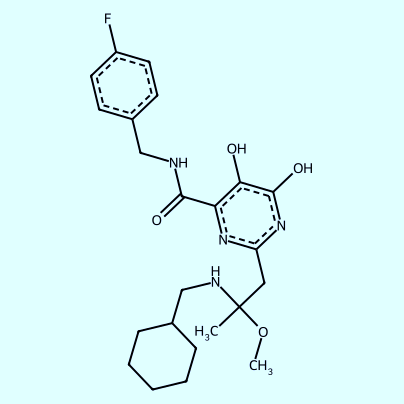 COC(C)(Cc1nc(O)c(O)c(C(=O)NCc2ccc(F)cc2)n1)NCC1CCCCC1